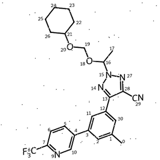 Cc1cc(-c2ccc(C(F)(F)F)nc2)cc(-c2nn(C(C)OCOC3CCCCC3)nc2C#N)c1